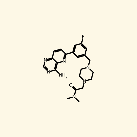 CN(C)C(=O)CN1CCN(Cc2cc(F)cc(-c3ccc4ncnc(N)c4n3)c2)CC1